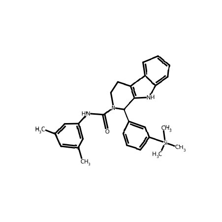 Cc1cc(C)cc(NC(=O)N2CCc3c([nH]c4ccccc34)C2c2cccc([Si](C)(C)C)c2)c1